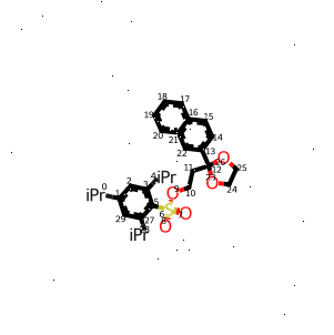 CC(C)c1cc(C(C)C)c(S(=O)(=O)OCCC2(c3ccc4ccccc4c3)OCCO2)c(C(C)C)c1